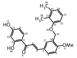 COc1ccc(/C=C/C(=O)c2ccc(O)cc2O)cc1COc1cccc(C)c1C